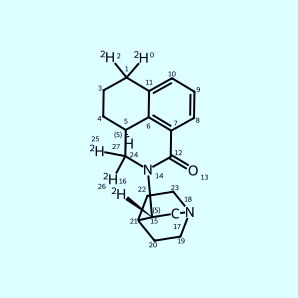 [2H]C1([2H])CC[C@H]2c3c(cccc31)C(=O)N([C@]1([2H])CN3CCC1CC3)C2([2H])[2H]